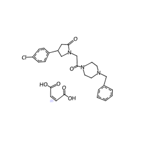 O=C(CN1CC(c2ccc(Cl)cc2)CC1=O)N1CCN(Cc2ccccc2)CC1.O=C(O)/C=C\C(=O)O